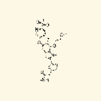 CNC(=O)CC1CN=C(c2cc3cc(Oc4ccc(S(C)(=O)=O)nc4)c(F)c(OCCOC)c3[nH]2)S1